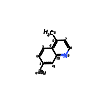 CCC(C)c1ccc2c(C)ccnc2c1